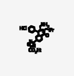 CCOC(=O)c1nc(-c2ccc3c(=O)n(CC(C)C)c(CN)c(-c4ccccc4)c3c2)no1.Cl